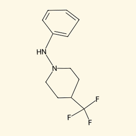 FC(F)(F)C1CCN(Nc2ccccc2)CC1